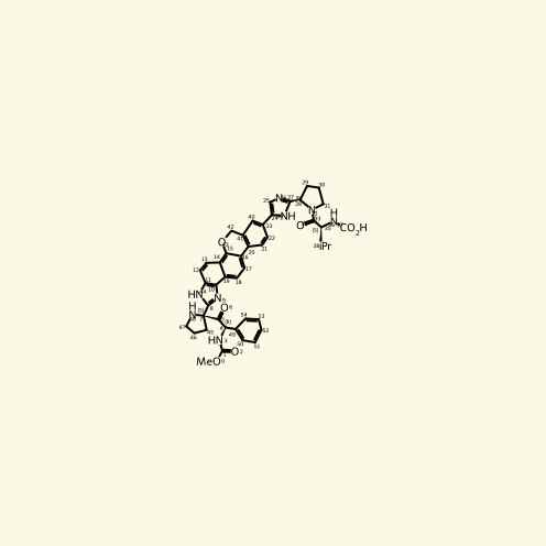 COC(=O)N[C@@H](C(=O)[C@@]1(c2nc3c(ccc4c5c(ccc43)-c3ccc(-c4cnc([C@H]6CCCN6C(=O)[C@@H](NC(=O)O)C(C)C)[nH]4)cc3CO5)[nH]2)CCCN1)c1ccccc1